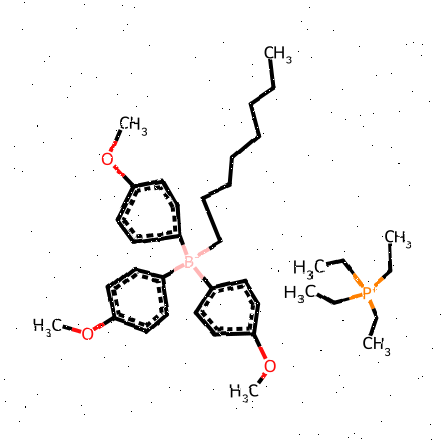 CCCCCCCC[B-](c1ccc(OC)cc1)(c1ccc(OC)cc1)c1ccc(OC)cc1.CC[P+](CC)(CC)CC